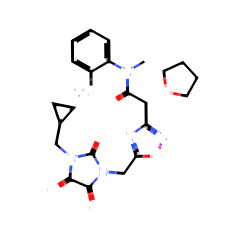 COc1ccccc1N(C[C@@H]1CCCO1)C(=O)Cc1noc(CN2C(=O)C(=O)N(CC3CC3)C2=O)n1